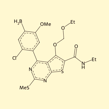 Bc1cc(Cl)c(-c2nc(SC)nc3sc(C(=O)NCC)c(OCOCC)c23)cc1OC